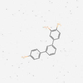 Pc1ccc(-c2cccc(-c3ccc(P)c(P)c3)c2)cc1